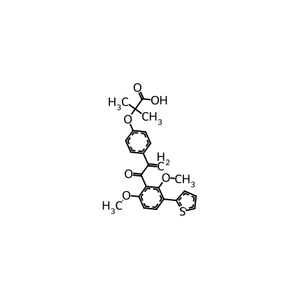 C=C(C(=O)c1c(OC)ccc(-c2cccs2)c1OC)c1ccc(OC(C)(C)C(=O)O)cc1